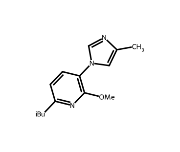 CCC(C)c1ccc(-n2cnc(C)c2)c(OC)n1